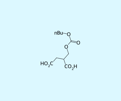 CCCCOC(=O)OCC(CC(=O)O)C(=O)O